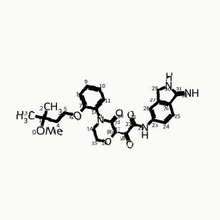 COC(C)(C)CCOc1ccccc1N1CCO[C@H](C(=O)C(=O)Nc2ccc3c(c2)CNC3=N)C1=O